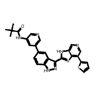 CC(C)(C)C(=O)Nc1cncc(-c2ccc3[nH]nc(-c4nc5c(-c6cccs6)cncc5[nH]4)c3c2)c1